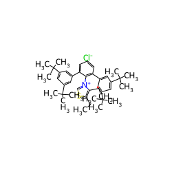 CCc1sc[n+](-c2c(-c3cc(C(C)(C)C)cc(C(C)(C)C)c3)cccc2-c2cc(C(C)(C)C)cc(C(C)(C)C)c2)c1CC.[Cl-]